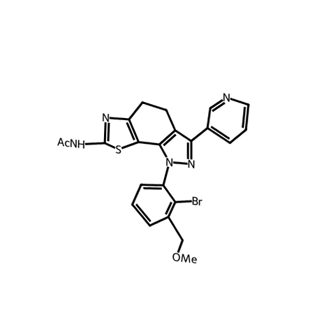 COCc1cccc(-n2nc(-c3cccnc3)c3c2-c2sc(NC(C)=O)nc2CC3)c1Br